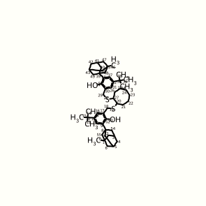 CC12CC3CC(C1)CC(c1cc(C(C)(C)C)cc(CSC4CCCCCCC4SCc4cc(C(C)(C)C)cc(C56CC7CC(CC(C)(C7)C5)C6)c4O)c1O)(C3)C2